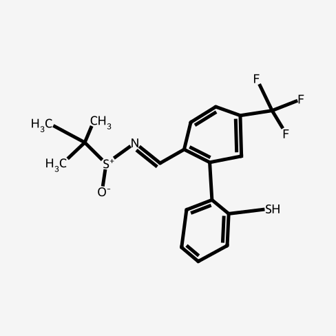 CC(C)(C)[S+]([O-])/N=C/c1ccc(C(F)(F)F)cc1-c1ccccc1S